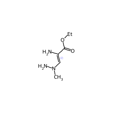 CCOC(=O)/C(N)=C/N(C)N